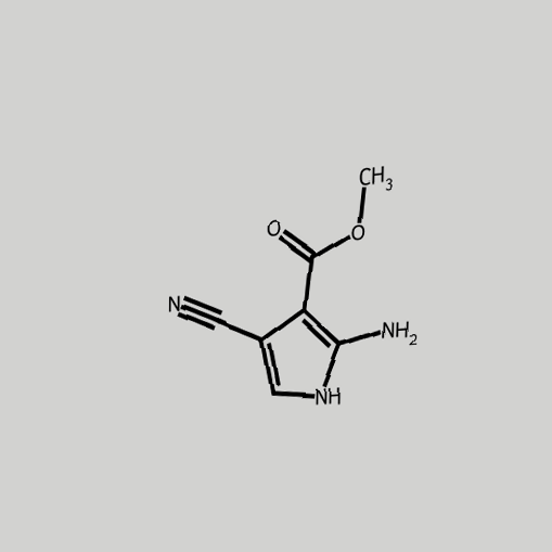 COC(=O)c1c(C#N)c[nH]c1N